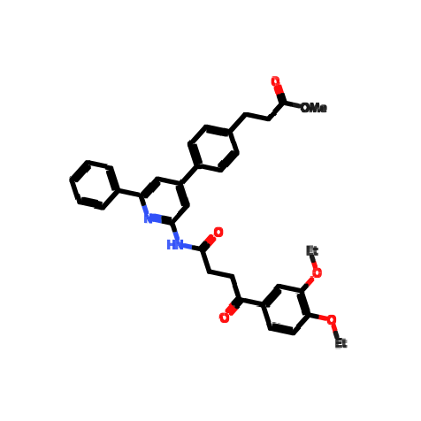 CCOc1ccc(C(=O)CCC(=O)Nc2cc(-c3ccc(CCC(=O)OC)cc3)cc(-c3ccccc3)n2)cc1OCC